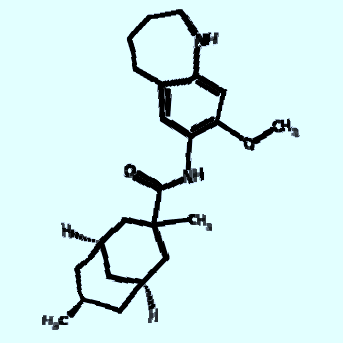 COc1cc2c(cc1NC(=O)C1(C)C[C@@H]3C[C@H](C)C[C@@H](C3)C1)CCCCN2